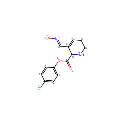 O=C(Oc1ccc(Cl)cc1)C1NCCC=C1C=NO